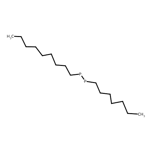 CCCCCCCCC[P][P]CCCCCCC